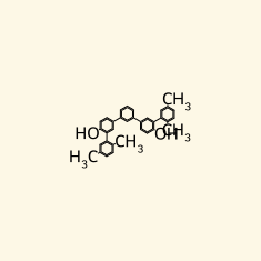 Cc1ccc(C)c(-c2cc(-c3cccc(-c4ccc(O)c(-c5cc(C)ccc5C)c4)c3)ccc2O)c1